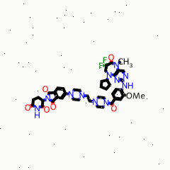 COc1cc(C(=O)N2CCN(CCN3CCN(c4ccc5c(c4)C(=O)N(C4CCC(=O)NC4=O)C5=O)CC3)CC2)ccc1Nc1ncc2c(n1)N(C1CCCC1)CC(F)(F)C(=O)N2C